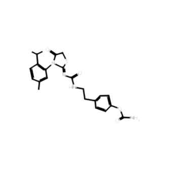 Cc1ccc(C(C)C)c(N2C(=O)CS/C2=N\C(=O)NCCc2ccc(OC(N)=O)cc2)c1